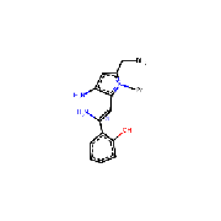 BCc1cc(N)c(/C=C(\N)c2ccccc2O)n1C(C)C